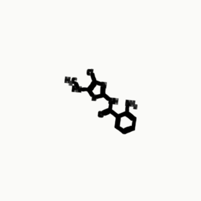 CNc1sc(NC(=O)c2ccccc2N)nc1Cl